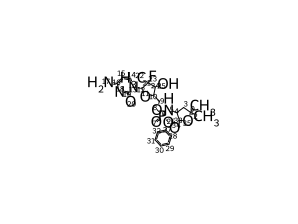 CC1(C)CC(NP(=O)(OC[C@H]2O[C@@H](n3ccc(N)nc3=O)[C@](C)(F)[C@@H]2O)Oc2ccccc2)C(=O)O1